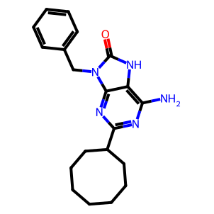 Nc1nc(C2CCCCCCC2)nc2c1[nH]c(=O)n2Cc1ccccc1